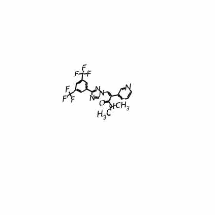 CN(C)C(=O)C(=Cn1cnc(-c2cc(C(F)(F)F)cc(C(F)(F)F)c2)n1)c1cccnc1